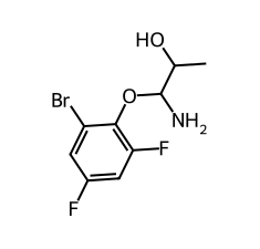 CC(O)C(N)Oc1c(F)cc(F)cc1Br